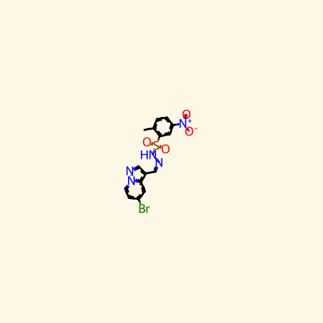 Cc1ccc([N+](=O)[O-])cc1S(=O)(=O)N/N=C\c1cnn2ccc(Br)cc12